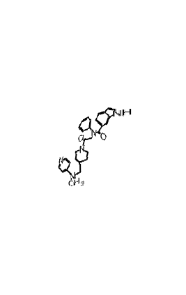 CN(CC1CCN(C(=O)CN(C(=O)c2ccc3cc[nH]c3c2)c2ccccc2)CC1)c1ccncc1